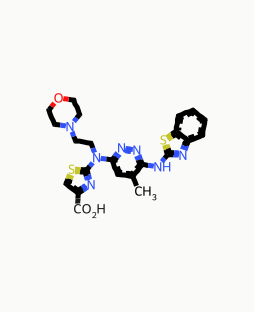 Cc1cc(N(CCN2CCOCC2)c2nc(C(=O)O)cs2)nnc1Nc1nc2ccccc2s1